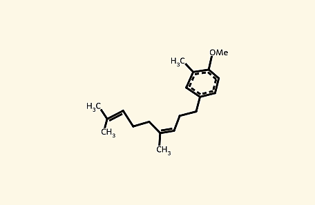 COc1ccc(CCC=C(C)CCC=C(C)C)cc1C